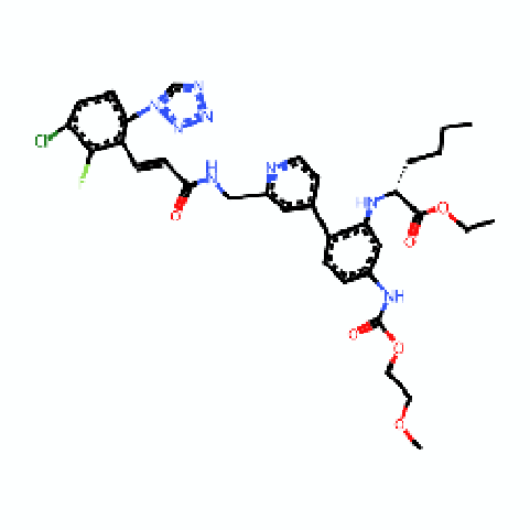 CCCC[C@@H](Nc1cc(NC(=O)OCCOC)ccc1-c1ccnc(CNC(=O)/C=C/c2c(-n3cnnn3)ccc(Cl)c2F)c1)C(=O)OCC